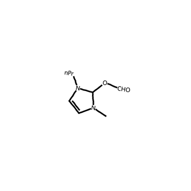 CCCN1C=CN(C)C1OC=O